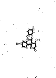 O=c1cc(O)c2c(=O)n(Cc3ccc(F)cc3)c3cc(Br)ccc3c2o1